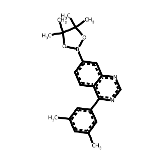 Cc1cc(C)cc(-c2ncnc3cc(B4OC(C)(C)C(C)(C)O4)ccc23)c1